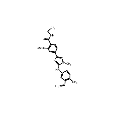 C=Cc1cc(Nc2nc(-c3ccc(C(=O)NCC(F)(F)F)c(OC)c3)nn2C)cnc1N